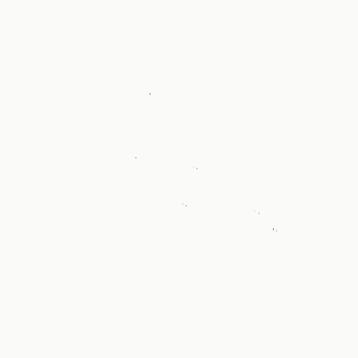 CC(C)(C)OC(=O)N1CCC[C@H]1c1ncc(-c2ccc(Cl)nn2)n1COCCS(C)(C)C